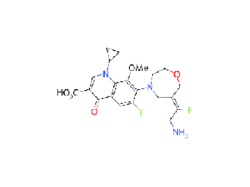 COc1c(N2CCOCC(=C(F)CN)C2)c(F)cc2c(=O)c(C(=O)O)cn(C3CC3)c12